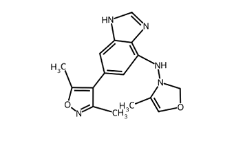 CC1=COCN1Nc1cc(-c2c(C)noc2C)cc2[nH]cnc12